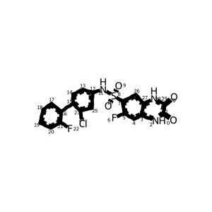 O=c1[nH]c2cc(F)c(S(=O)(=O)Nc3ccc(-c4ccccc4F)c(Cl)c3)cc2[nH]c1=O